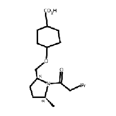 CC(C)CC(=O)N1[C@H](COC2CCC(C(=O)O)CC2)CC[C@@H]1C